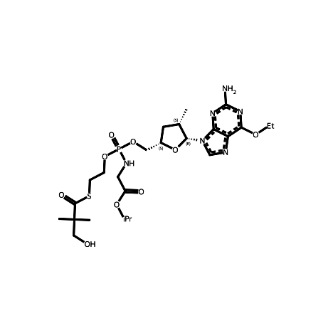 CCOc1nc(N)nc2c1ncn2[C@@H]1O[C@H](COP(=O)(NCC(=O)OC(C)C)OCCSC(=O)C(C)(C)CO)C[C@@H]1C